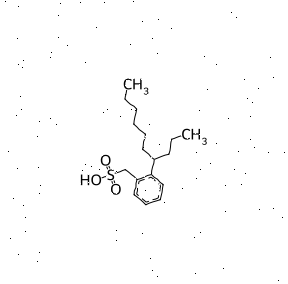 CCCCCCC(CCC)c1ccccc1CS(=O)(=O)O